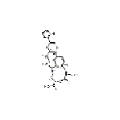 CO[C@@H]1C[C@H]2C=CC3C4[C@H](O)[C@@H](C)[C@@H](OC(=O)c5ccc[nH]5)[C@@H]3O[C@]42/C(C)=C/[C@@H](C)C(C(C)O)OC1=O